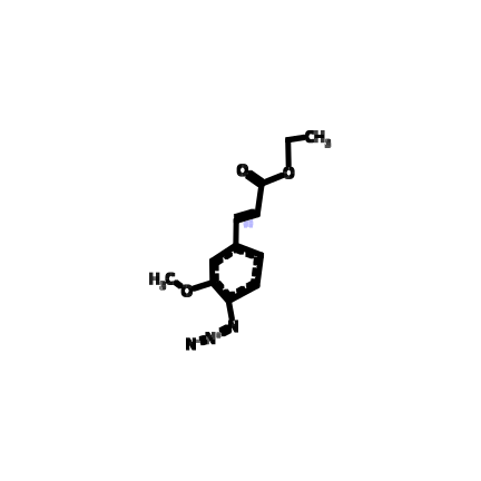 CCOC(=O)/C=C/c1ccc(N=[N+]=[N-])c(OC)c1